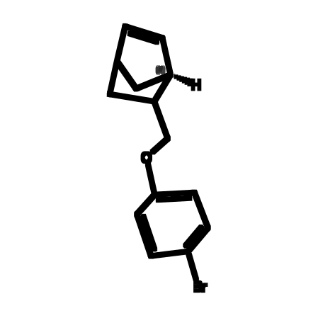 Brc1ccc(OCC2CC3C=C[C@@H]2C3)cc1